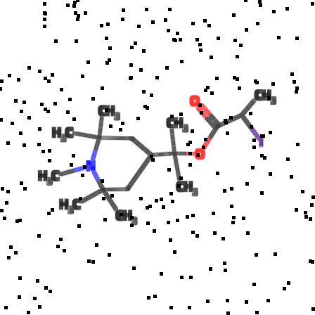 CC(I)C(=O)OC(C)(C)C1CC(C)(C)N(C)C(C)(C)C1